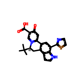 CC(C)(C)[C@@H]1Cc2c(cc(-c3nccs3)c3[nH]ccc23)-c2cc(=O)c(C(=O)O)cn21